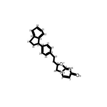 O=c1ccn2c(n1)OC(CCc1ccc(C3CCc4ccccc43)cc1)C2